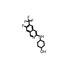 OC1CCC(Nc2cc3cc(C(F)(F)F)c(F)cc3cn2)CC1